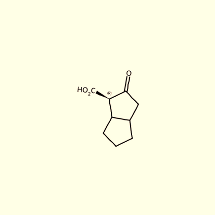 O=C(O)[C@H]1C(=O)CC2CCCC21